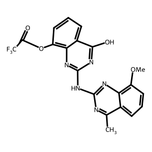 COc1cccc2c(C)nc(Nc3nc(O)c4cccc(OC(=O)C(F)(F)F)c4n3)nc12